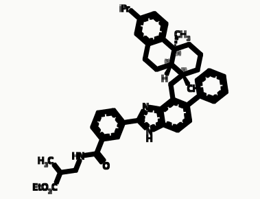 CCOC(=O)C(C)CNC(=O)c1cccc(-c2nc3c(C[C@@]4(C)CCC[C@]5(C)c6ccc(C(C)C)cc6CC[C@@H]45)c(-c4ccccc4)ccc3[nH]2)c1